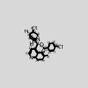 CCC1CN2CC[C@@H]1C[C@H]2[C@H](OC(=O)c1ccc(Cl)cc1)c1ccnc2ccc(C)cc12